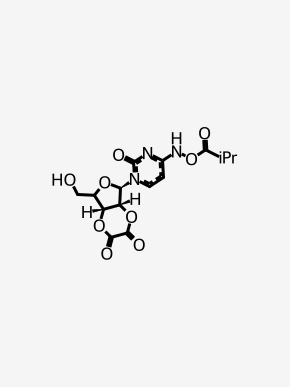 CC(C)C(=O)ONc1ccn([C@@H]2OC(CO)[C@H]3OC(=O)C(=O)O[C@H]32)c(=O)n1